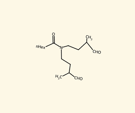 CCCCCCC(=O)N(CCC(C)C=O)CCC(C)C=O